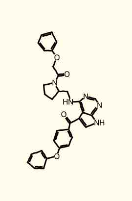 O=C(c1ccc(Oc2ccccc2)cc1)c1c[nH]c2ncnc(NCC3CCCN3C(=O)COc3ccccc3)c12